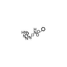 CN(c1ncnc2[nH]ccc12)[C@H]1C[C@@H](NC(=O)OCc2ccccc2)C1